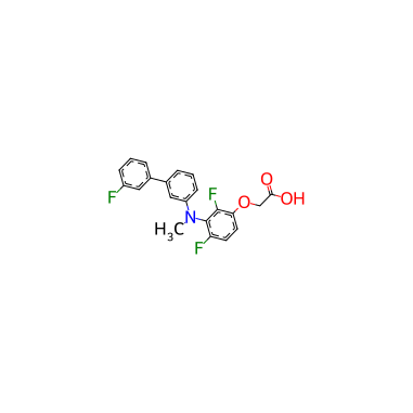 CN(c1cccc(-c2cccc(F)c2)c1)c1c(F)ccc(OCC(=O)O)c1F